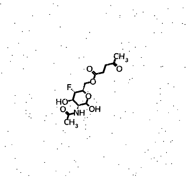 CC(=O)CCC(=O)OC[C@H]1OC(O)[C@H](NC(C)=O)[C@@H](O)[C@@H]1F